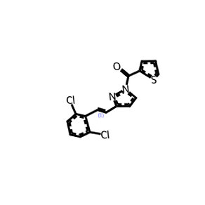 O=C(c1cccs1)n1ccc(/C=C/c2c(Cl)cccc2Cl)n1